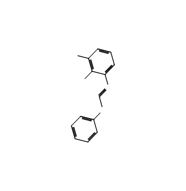 Fc1cccc(N=COc2ccccc2)c1F